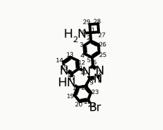 NC1(c2ccc(-c3nnc4n3-c3cccnc3Nc3ccc(Br)cc3-4)cc2)CCC1